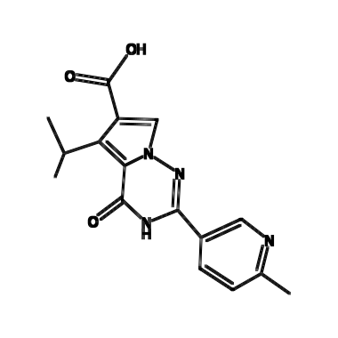 Cc1ccc(-c2nn3cc(C(=O)O)c(C(C)C)c3c(=O)[nH]2)cn1